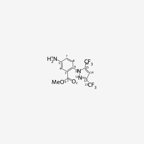 COC(=O)c1cc(N)ccc1-n1nc(C(F)(F)F)cc1C(F)(F)F